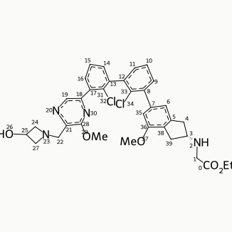 CCOC(=O)CN[C@H]1Cc2cc(-c3cccc(-c4cccc(-c5cnc(CN6CC(O)C6)c(OC)n5)c4Cl)c3Cl)cc(OC)c2C1